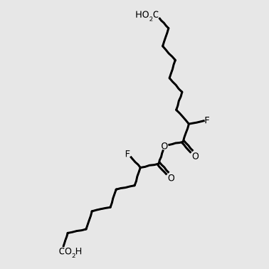 O=C(O)CCCCCCC(F)C(=O)OC(=O)C(F)CCCCCCC(=O)O